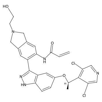 C=CC(=O)Nc1cc2c(cc1-c1n[nH]c3ccc(O[C@H](C)c4c(Cl)cncc4Cl)cc13)CN(CCO)C2